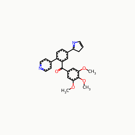 COc1cc(C(=O)c2cc(C3=NC=CC3)ccc2-c2ccncc2)cc(OC)c1OC